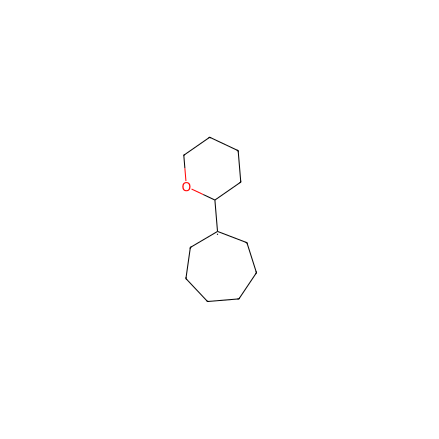 C1CCC[C](C2CCCCO2)CC1